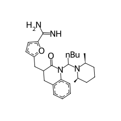 CCCCC(N1C(=O)C(Cc2ccc(C(=N)N)o2)Cc2ccccc21)N1[C@H](C)CCC[C@@H]1C